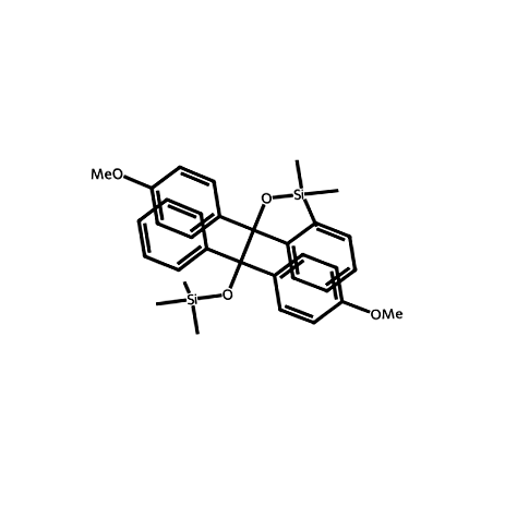 COc1ccc(C(O[Si](C)(C)C)(c2ccccc2)C(O[Si](C)(C)C)(c2ccccc2)c2ccc(OC)cc2)cc1